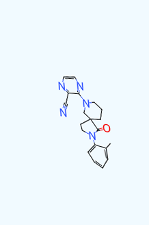 Cc1ccccc1N1CCC2(CCCN(c3nccnc3C#N)C2)C1=O